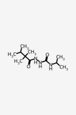 CC(C)NC(=O)NNC(=O)C(C)(C)C(C)C